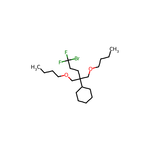 CCCCOCC(CCC(F)(F)Br)(COCCCC)C1CCCCC1